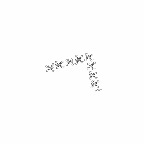 [Mo+6].[O]=[Mo](=[O])([O-])[O-].[O]=[Mo](=[O])([O-])[O-].[O]=[Mo](=[O])([O-])[O-].[O]=[Mo](=[O])([O-])[O-].[O]=[Mo](=[O])([O-])[O-].[O]=[Mo](=[O])([O-])[O-].[O]=[Mo](=[O])([O-])[O-].[O]=[Mo](=[O])([O-])[O-]